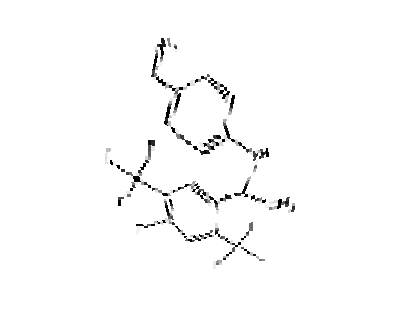 C=Cc1ccc(BC(C)c2cc(C(F)(F)F)c(F)cc2C(F)(F)F)cc1